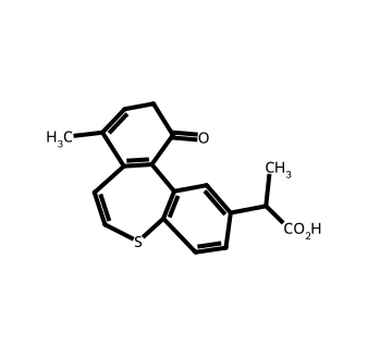 CC1=CCC(=O)C2=C1C=CSc1ccc(C(C)C(=O)O)cc12